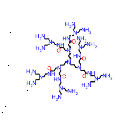 NCCN(CCN)CCNC(=O)CCN(CCCN(CCCN(CCC(=O)NCCN(CCN)CCN)CCC(=O)NCCN(CCN)CCN)CCCN(CCC(=O)NCCN(CCN)CCN)CCC(=O)NCCN(CCN)CCN)CCC(=O)NCCN(CCN)CCN